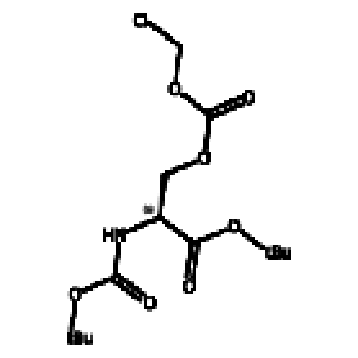 CC(C)(C)OC(=O)N[C@@H](COC(=O)OCCl)C(=O)OC(C)(C)C